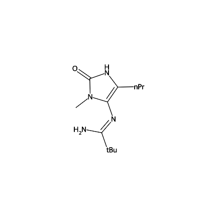 CCCc1[nH]c(=O)n(C)c1/N=C(\N)C(C)(C)C